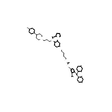 O=C1OC2(c3ccc(O)cc3Oc3cc(O)ccc32)c2ccc(NC(=S)NCCCCOc3ccc4c(c3)n3cccc3c(=O)n4CCCN3CCC(c4ccc(Cl)cc4)CC3)cc21